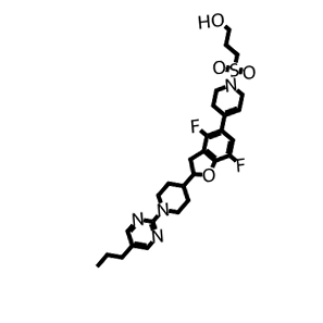 CCCc1cnc(N2CCC(C3Cc4c(F)c(C5=CCN(S(=O)(=O)CCCO)CC5)cc(F)c4O3)CC2)nc1